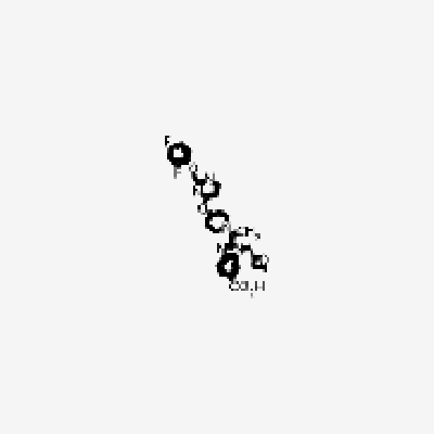 CC(c1nc2ccc(C(=O)O)cc2n1C[C@@H]1CCO1)N1CCC(Oc2ccnc(COc3ccc(F)cc3F)n2)CC1